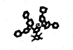 N#Cc1c(-n2c3ccc(-c4ccccc4)cc3c3cc(-c4ccccc4)ccc32)cc(-c2c(F)c(F)cc(F)c2F)cc1-n1c2ccc(-c3ccccc3)cc2c2cc(-c3ccccc3)ccc21